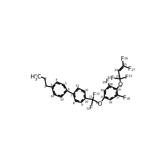 CCCc1ccc(-c2ccc(C(F)(F)Oc3cc(F)c(OC(F)(F)C=C(F)F)c(F)c3)cc2)cc1